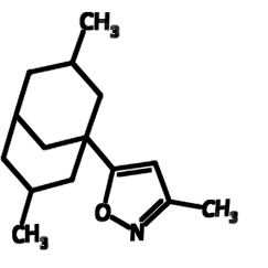 Cc1cc(C23CC(C)CC(CC(C)C2)C3)on1